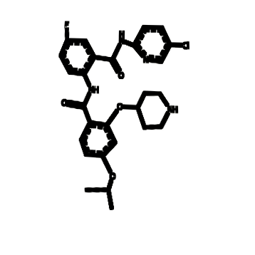 CC(C)Oc1ccc(C(=O)Nc2ccc(F)cc2C(=O)Nc2ccc(Cl)cn2)c(OC2CCNCC2)c1